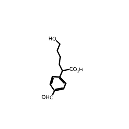 O=Cc1ccc(C(CCCCO)C(=O)O)cc1